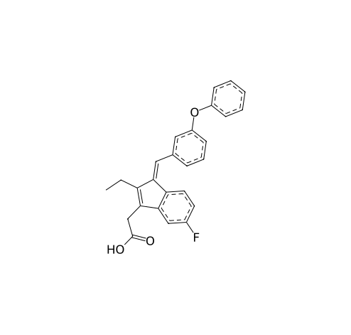 CCC1=C(CC(=O)O)c2cc(F)ccc2/C1=C\c1cccc(Oc2ccccc2)c1